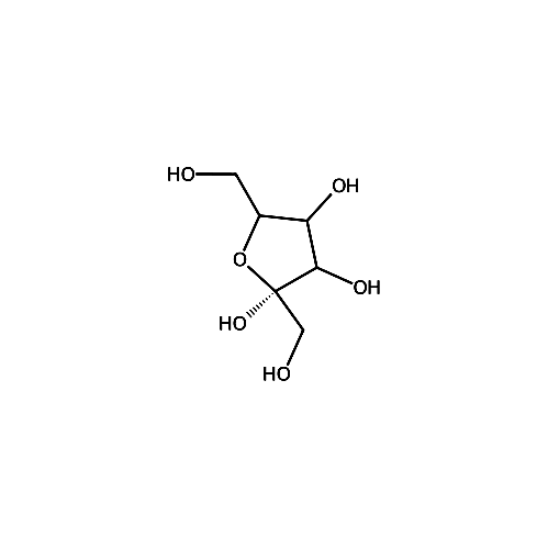 OCC1O[C@](O)(CO)C(O)C1O